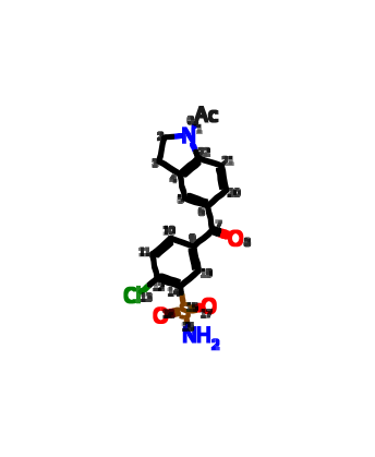 CC(=O)N1CCc2cc(C(=O)c3ccc(Cl)c(S(N)(=O)=O)c3)ccc21